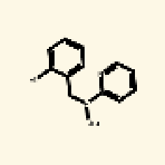 CCc1ccccc1CP(c1ccccn1)C(C)(C)C